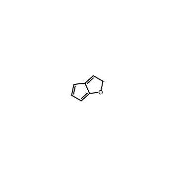 [CH]1C=C2C=CC=C2O1